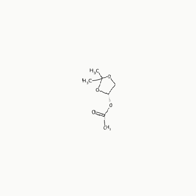 CC(=O)O[C@H]1COC(C)(C)O1